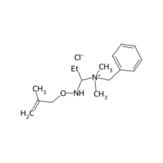 C=C(C)CONC(CC)[N+](C)(C)Cc1ccccc1.[Cl-]